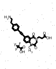 CN1C(=O)CN(CCC(=O)O)C(=O)c2cc(C#Cc3ccc(CCN)cc3)ccc21.O=C(O)C(F)(F)F